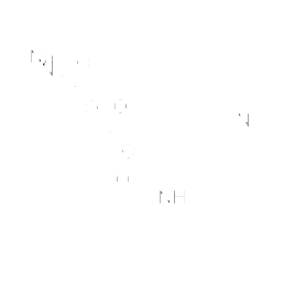 C=C(C)C(=O)NCCC.C=CC(=O)[O-].C=CC(=O)[O-].CN(C)C.[Na+].[Na+]